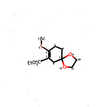 CCOC(=O)C1=C(SC(C)=O)CCC2(C1)OCCO2